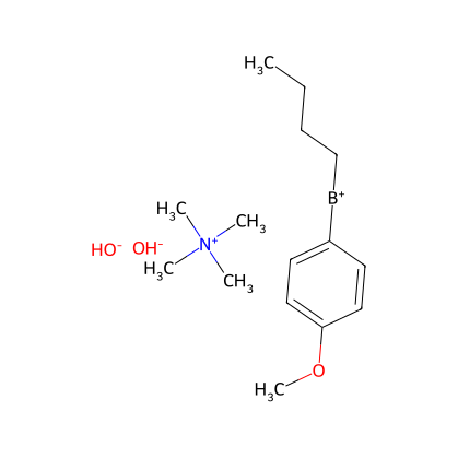 CCCC[B+]c1ccc(OC)cc1.C[N+](C)(C)C.[OH-].[OH-]